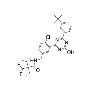 CCC(CC)(C(=O)NCc1ccc(Cl)c(-c2nc(O)nc(-c3cccc(C(C)(C)C)c3)n2)c1)C(F)F